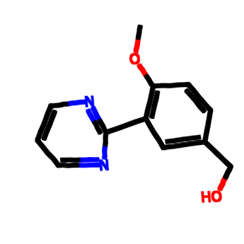 COc1ccc(CO)cc1-c1ncccn1